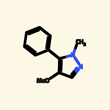 COc1cnn(C)c1-c1ccccc1